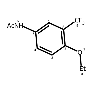 CCOc1ccc(NC(C)=O)cc1C(F)(F)F